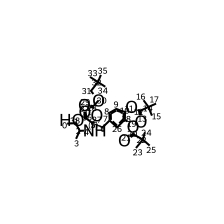 CCC(C)N[C@@](Cc1ccc(OC(=O)C(C)(C)C)c(OC(=O)C(C)(C)C)c1)(OC(=O)OCC(C)(C)C)C(=O)O